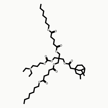 CCCCCCCOC(=O)CCCC(=O)OCC(COC(=O)CCCC(=O)OCCCCCCC)(COC(=O)CC12CCC(CC(C)C1)C(C)C2)COC(=O)OCCCN(CC)CC